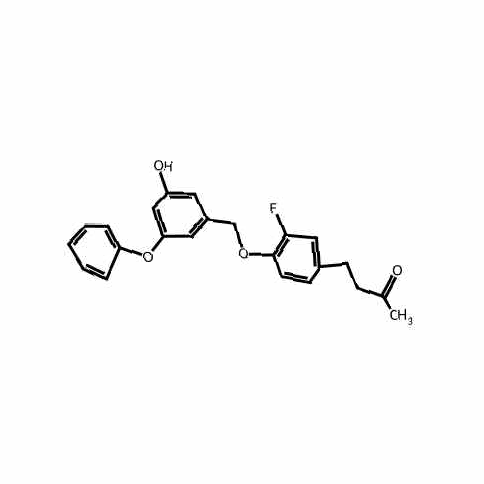 CC(=O)CCc1ccc(OCc2cc(O)cc(Oc3ccccc3)c2)c(F)c1